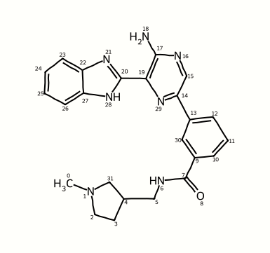 CN1CCC(CNC(=O)c2cccc(-c3cnc(N)c(-c4nc5ccccc5[nH]4)n3)c2)C1